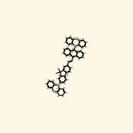 CC1(C)c2cc(/C=C/c3c4ccccc4c(N4c5ccccc5Sc5ccccc54)c4ccccc34)ccc2-c2ccc(N3C4=C(CCC=C4)Sc4ccccc43)cc21